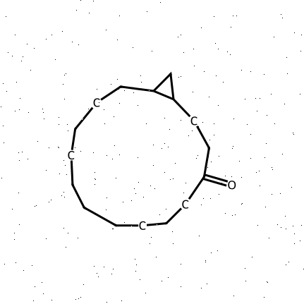 O=C1CCCCCCCCCCC2CC2CC1